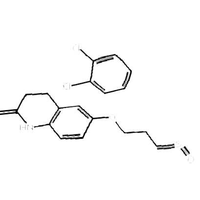 Clc1ccccc1Cl.O=S=CCCOc1ccc2c(c1)CCC(=O)N2